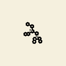 C1=CC2=CC=C3C(c4c(ccc5ccccc45)N3c3cccc(-c4cc(-c5cccc(-c6ccccc6)c5)nc(-c5ccc6ccccc6c5)c4)c3)C2C=C1